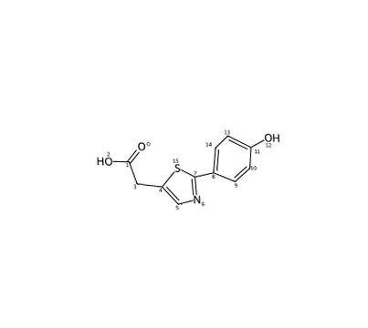 O=C(O)Cc1[c]nc(-c2ccc(O)cc2)s1